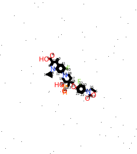 C=C1C(C(=O)O)=CN(C2CC2)c2cc(N3CCC(COc4ccc(N5CCOC5=O)cc4F)(C[PH](=O)O)CC3)c(F)cc21